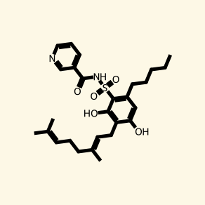 CCCCCc1cc(O)c(C/C=C(\C)CCC=C(C)C)c(O)c1S(=O)(=O)NC(=O)c1cccnc1